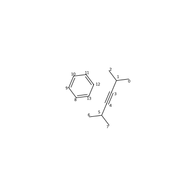 CC(C)C#CC(C)C.c1ccccc1